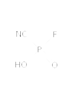 N#CP(=O)(O)F